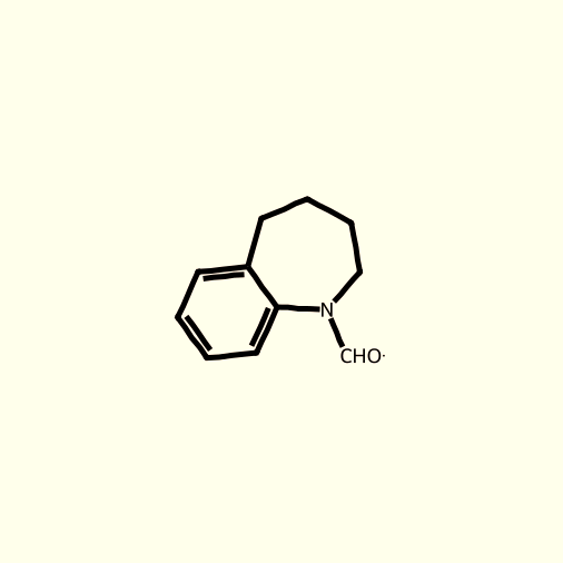 O=[C]N1CCCCc2ccccc21